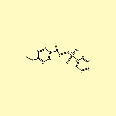 CSc1ccc(C(=O)/C=C/S(=O)(=O)c2ccccc2)cc1